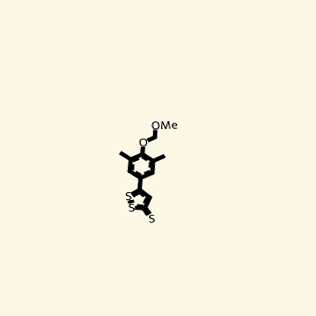 COCOc1c(C)cc(-c2cc(=S)ss2)cc1C